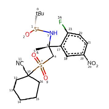 CC(C)(C)[S@@+]([O-])N[C@@](C)(CS(=O)(=O)C1(C#N)CCCCC1)c1cc([N+](=O)[O-])ccc1F